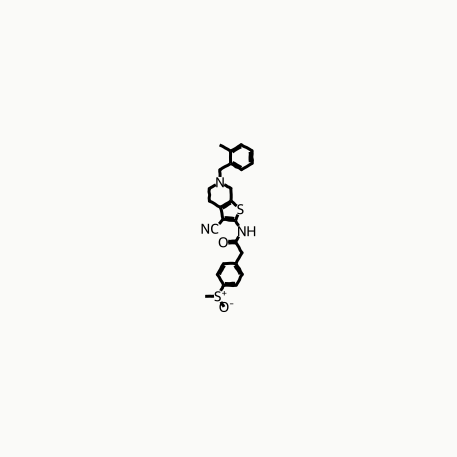 Cc1ccccc1CN1CCc2c(sc(NC(=O)Cc3ccc([S+](C)[O-])cc3)c2C#N)C1